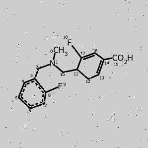 CN(Cc1ccccc1F)CC1CC=C(C(=O)O)C=C1F